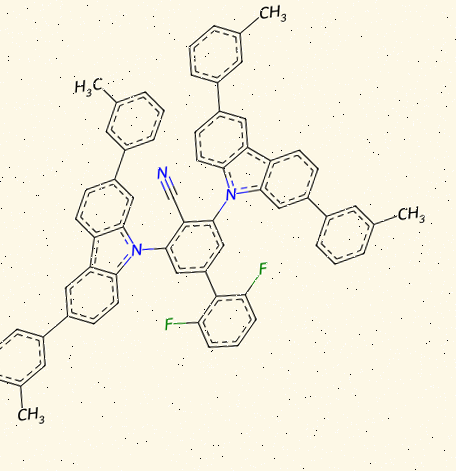 Cc1cccc(-c2ccc3c(c2)c2ccc(-c4cccc(C)c4)cc2n3-c2cc(-c3c(F)cccc3F)cc(-n3c4ccc(-c5cccc(C)c5)cc4c4ccc(-c5cccc(C)c5)cc43)c2C#N)c1